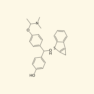 CC(Oc1ccc(C(O)c2ccc(O)cc2)cc1)N(C)C.c1ccc2c3c(sc2c1)C3